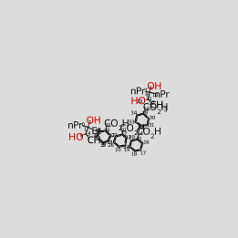 CCCC(O)(CC)C(C)O.CCCC(O)(CCC)C(C)O.O=C(O)c1ccccc1.O=C(O)c1ccccc1.O=C(O)c1ccccc1.O=C(O)c1ccccc1